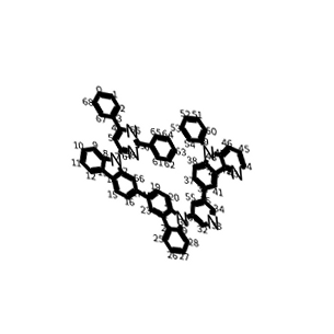 c1ccc(-c2cc(-n3c4ccccc4c4ccc(-c5ccc6c(c5)c5ccccc5n6-c5cncc(-c6ccc7c(c6)c6ncccc6n7-c6ccccc6)c5)cc43)nc(-c3ccccc3)n2)cc1